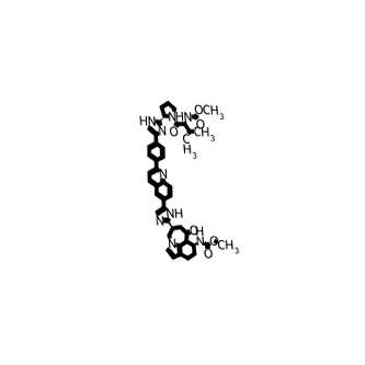 COC(=O)N[C@H]1CCc2ccn3c2C1C(=O)C[C@H](c1ncc(-c2ccc4nc(-c5ccc(-c6c[nH]c([C@@H]7CCCN7C(=O)[C@@H](NC(=O)OC)C(C)C)n6)cc5)ccc4c2)[nH]1)C3